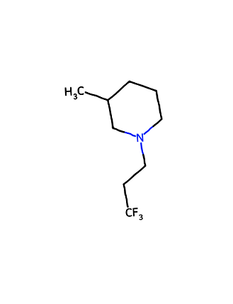 CC1CCCN(CCC(F)(F)F)C1